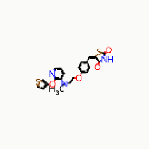 CN(CCOc1ccc(C=C2SC(=O)NC2=O)cc1)c1cccnc1Oc1ccsc1